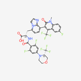 Cn1c(=O)c(-c2ccc(C[C@H](NC(=O)c3c(F)cc(N4CCOC[C@H]4C(F)(F)F)cc3F)C(=O)O)n3ccnc23)c(C(F)(F)F)c2cc(F)ccc21